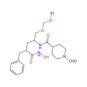 CCOCOCC(CC(Cc1ccccc1)C(=O)NO)NC(=O)C1CCN(C=O)CC1